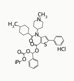 CC1CCC(C(=O)N(c2cc(-c3ccccc3)sc2C(=O)OC(OC(=O)OC(C)C)c2ccccc2)C2CCN(C)CC2)CC1.Cl